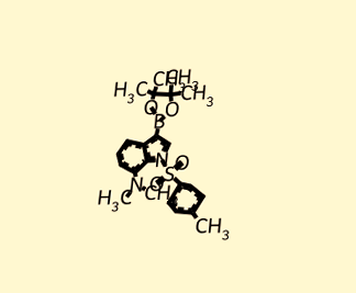 Cc1ccc(S(=O)(=O)n2cc(B3OC(C)(C)C(C)(C)O3)c3cccc(N(C)C)c32)cc1